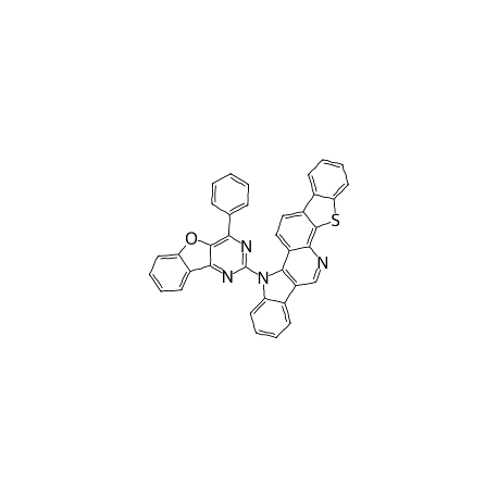 c1ccc(-c2nc(-n3c4ccccc4c4cnc5c(ccc6c7ccccc7sc65)c43)nc3c2oc2ccccc23)cc1